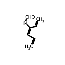 C=C/C=C(\C=C)NC=O